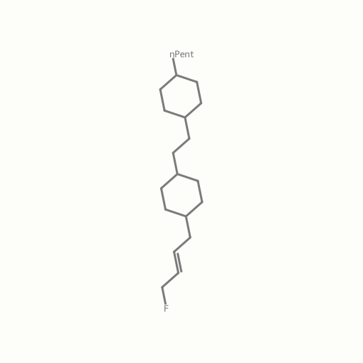 CCCCCC1CCC(CCC2CCC(C/C=C/CF)CC2)CC1